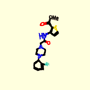 COC(=O)c1sccc1NC(=O)CN1CCN(c2ccccc2F)CC1